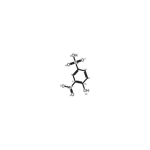 O=[N+]([O-])c1cc(S(=O)(=O)O)c[c]c1O